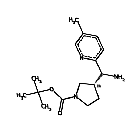 Cc1ccc(C(N)[C@@H]2CCN(C(=O)OC(C)(C)C)C2)nc1